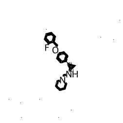 Fc1ccccc1COc1ccc([C@@H]2C[C@H]2NCN2CCCCC2)cc1